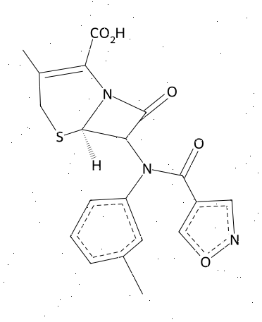 CC1=C(C(=O)O)N2C(=O)C(N(C(=O)c3cnoc3)c3cccc(C)c3)[C@H]2SC1